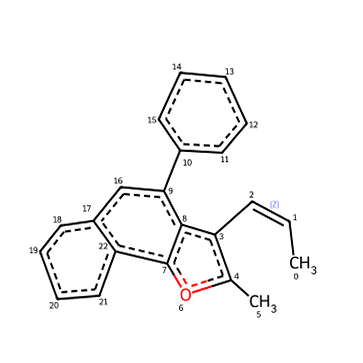 C/C=C\c1c(C)oc2c1c(-c1ccccc1)cc1ccccc12